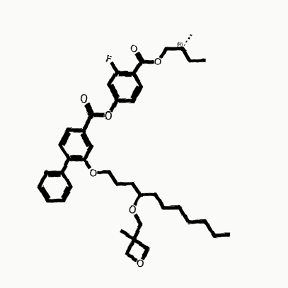 CCCCCCCC(CCCOc1cc(C(=O)Oc2ccc(C(=O)OC[C@H](C)CC)c(F)c2)ccc1-c1ccccc1)OCC1(C)COC1